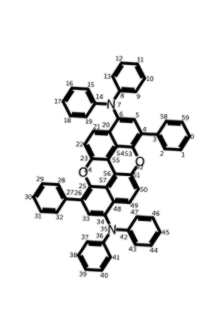 c1ccc(-c2cc(N(c3ccccc3)c3ccccc3)c3ccc4oc5c(-c6ccccc6)cc(N(c6ccccc6)c6ccccc6)c6ccc7oc2c3c4-c7c65)cc1